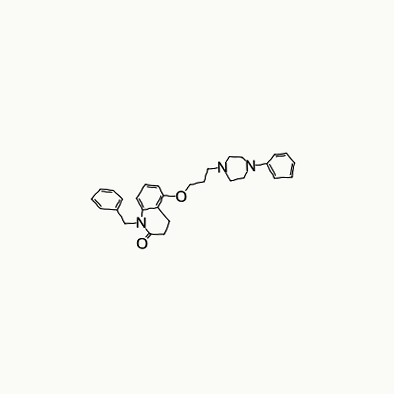 O=C1CCc2c(OCCCN3CCN(c4ccccc4)CC3)cccc2N1Cc1ccccc1